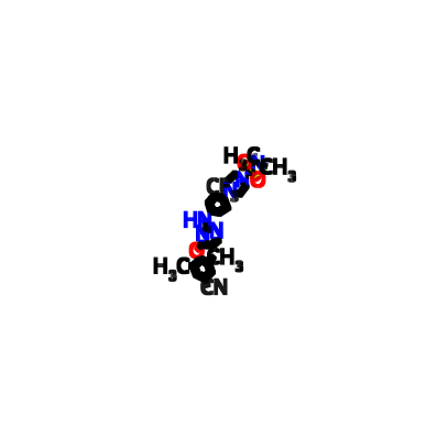 Cc1cc(C#N)cc(C)c1Oc1ccnc(Nc2ccc(N3CCN(S(=O)(=O)N(C)C)CC3)c(C(F)(F)F)c2)n1